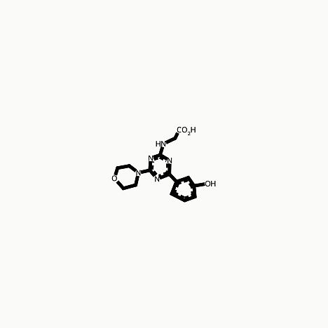 O=C(O)CNc1nc(-c2cccc(O)c2)nc(N2CCOCC2)n1